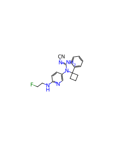 N#C/N=C(\N)N(c1ccc(NCCF)nc1)C1(c2ccccc2)CCC1